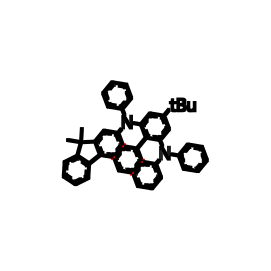 CC(C)(C)c1cc(N(c2ccccc2)c2ccccc2)c(-c2ccccc2)c(N(c2ccccc2)c2ccc3c(c2)C(C)(C)c2ccccc2-3)c1